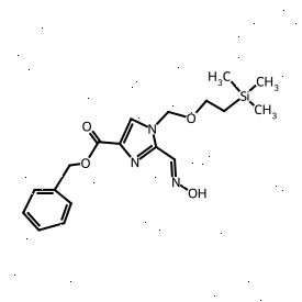 C[Si](C)(C)CCOCn1cc(C(=O)OCc2ccccc2)nc1C=NO